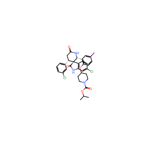 CC(C)OC(=O)N1CCC(Oc2ccc(I)cc2[C@H]2NC(=O)C[C@@H](c3cccc(Cl)c3)[C@]23C(=O)Nc2cc(Cl)ccc23)CC1